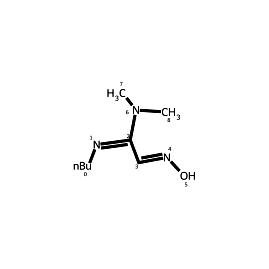 CCCC/N=C(\C=N\O)N(C)C